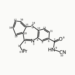 CC(C)CC1=Nc2cc(C(=O)NC#N)ccc2Sc2ccccc21